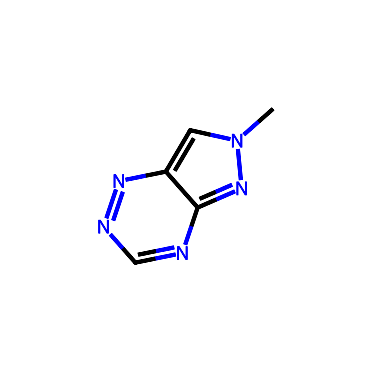 Cn1cc2nncnc2n1